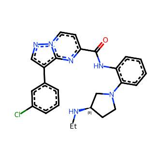 CCN[C@@H]1CCN(c2ccccc2NC(=O)c2ccn3ncc(-c4cccc(Cl)c4)c3n2)C1